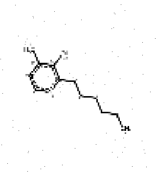 CCCCCCc1nccc(C)c1O